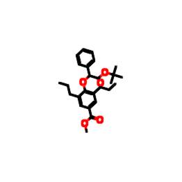 CCCc1cc(C(=O)OC)cc(CCC)c1OC(C(=O)OC(C)(C)C)c1ccccc1